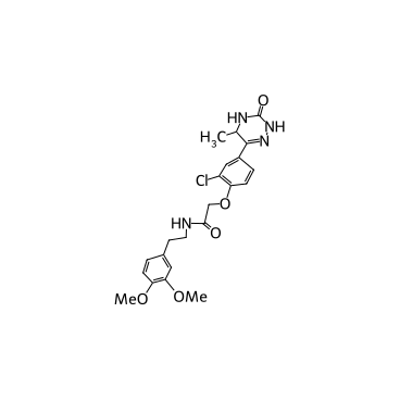 COc1ccc(CCNC(=O)COc2ccc(C3=NNC(=O)NC3C)cc2Cl)cc1OC